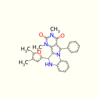 Cc1cc(C2Nc3ccccc3-n3c(-c4ccccc4)c4c(=O)n(C)c(=O)n(C)c4c32)oc1C